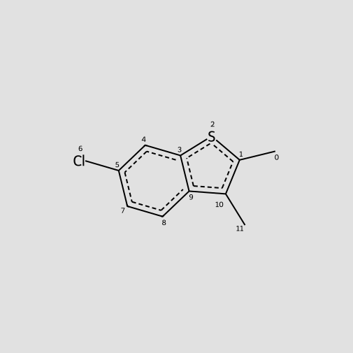 Cc1sc2cc(Cl)ccc2c1C